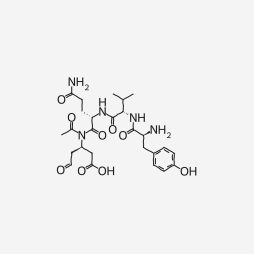 CC(=O)N(C(=O)[C@H](CCC(N)=O)NC(=O)[C@@H](NC(=O)[C@@H](N)Cc1ccc(O)cc1)C(C)C)[C@H](CC=O)CC(=O)O